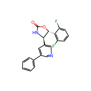 O=C1N[C@H](c2cncc(-c3ccccc3)c2)[C@@H](c2c(F)cccc2F)O1